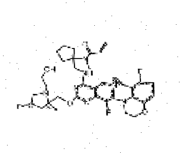 C#Cc1c(F)ccc2c1N(c1ncc3c(NCC4(N(C)C(=O)C=C)CCCC4)nc(OC[C@]4(C)C[C@@H](F)CN4CCO)nc3c1F)CCO2